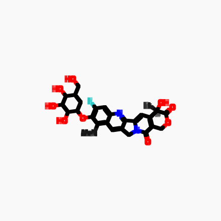 CC[C@@]1(O)C(=O)OCc2c1cc1n(c2=O)Cc2cc3c(NC)c(OC4CC(CO)C(O)C(O)C4O)c(F)cc3nc2-1